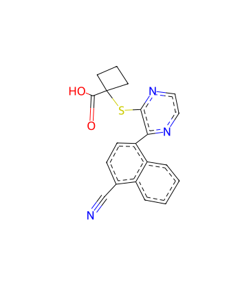 N#Cc1ccc(-c2nccnc2SC2(C(=O)O)CCC2)c2ccccc12